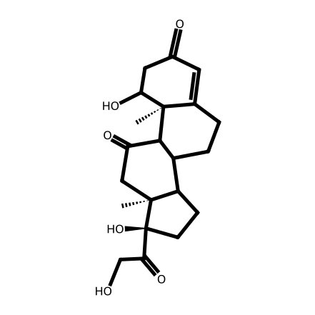 C[C@@]12C(=CC(=O)CC1O)CCC1C2C(=O)C[C@@]2(C)C1CC[C@]2(O)C(=O)CO